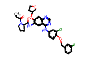 C=CC(=O)N1CCCC1C(=O)Nc1cc2c(Nc3ccc(OCc4cccc(F)c4)c(Cl)c3)ncnc2cc1OC1CCOC1